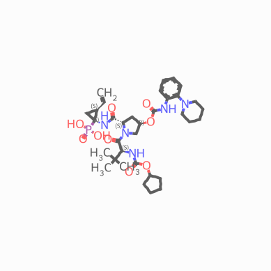 C=C[C@@H]1C[C@]1(NC(=O)[C@@H]1C[C@@H](OC(=O)Nc2ccccc2N2CCCCC2)CN1C(=O)[C@@H](NC(=O)OC1CCCC1)C(C)(C)C)P(=O)(O)O